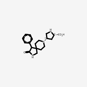 O=C1NCC2(CCN([C@@H]3CN[C@H](C(=O)O)C3)CC2)C1c1ccccc1